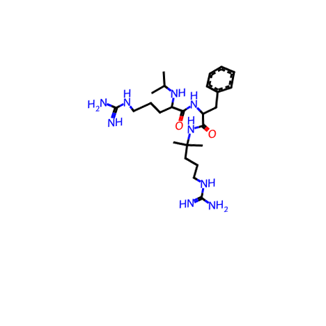 CC(C)NC(CCCNC(=N)N)C(=O)NC(Cc1ccccc1)C(=O)NC(C)(C)CCCNC(=N)N